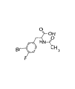 CC(=O)NC(Cc1ccc(F)c(Br)c1)C(=O)O